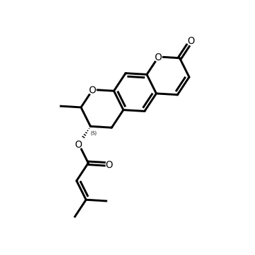 CC(C)=CC(=O)O[C@H]1Cc2cc3ccc(=O)oc3cc2OC1C